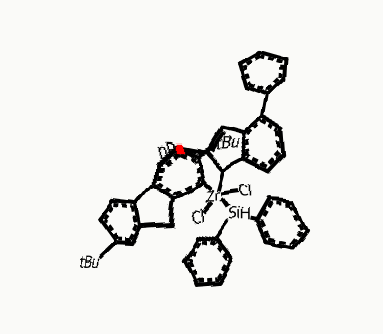 CCCC1=Cc2c(-c3ccccc3)cccc2[CH]1[Zr]([Cl])([Cl])([c]1c(C(C)(C)C)ccc2c1Cc1cc(C(C)(C)C)ccc1-2)[SiH](c1ccccc1)c1ccccc1